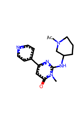 CC(=O)N1CCCC(Nc2nc(-c3ccncc3)cc(=O)n2C)C1